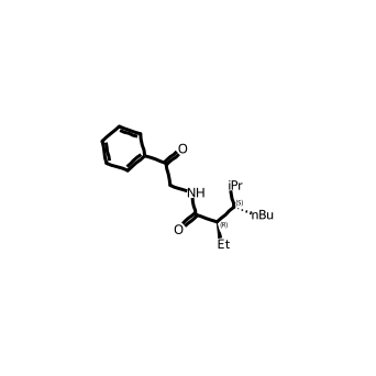 CCCC[C@@H](C(C)C)[C@@H](CC)C(=O)NCC(=O)c1ccccc1